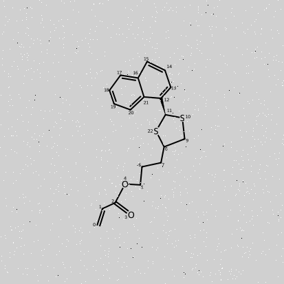 C=CC(=O)OCCCC1CS[C@H](c2cccc3ccccc23)S1